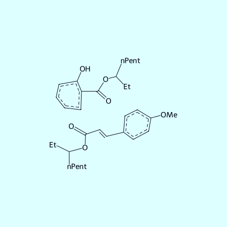 CCCCCC(CC)OC(=O)C=Cc1ccc(OC)cc1.CCCCCC(CC)OC(=O)c1ccccc1O